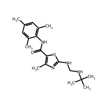 Cc1cc(C)c(NC(=O)c2sc(NCNC(C)(C)C)nc2C)c(C)c1